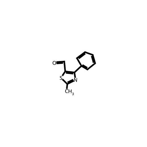 Cc1nc(-c2ccccc2)c(C=O)s1